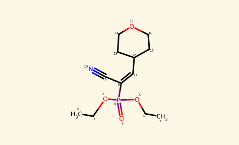 CCOP(=O)(OCC)/C(C#N)=C/C1CCOCC1